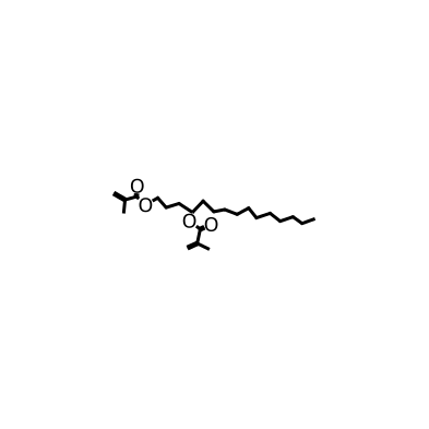 C=C(C)C(=O)OCCCC(CCCCCCCCCCC)OC(=O)C(=C)C